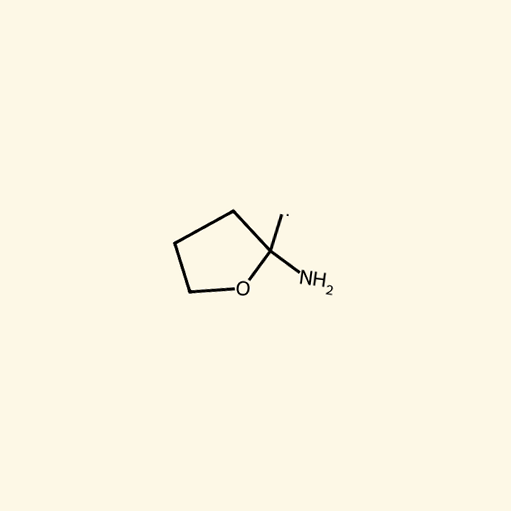 [CH2]C1(N)CCCO1